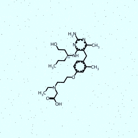 CCC[C@@H](CCO)Nc1nc(N)nc(C)c1Cc1ccc(OCCCN(CC)CC(=O)O)cc1C